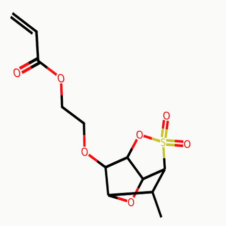 C=CC(=O)OCCOC1C2OC3C1OS(=O)(=O)C3C2C